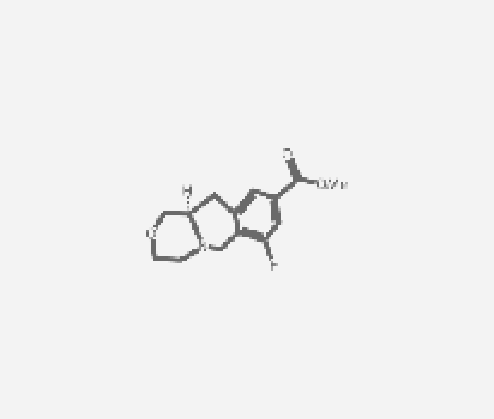 COC(=O)c1cc(F)c2c(c1)C[C@@H]1COCCN1C2